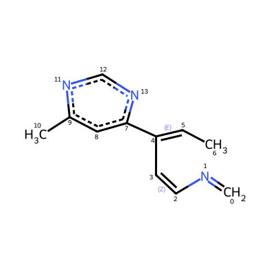 C=N/C=C\C(=C/C)c1cc(C)ncn1